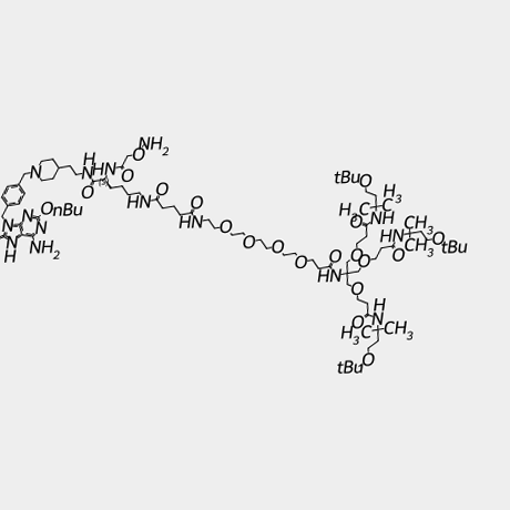 CCCCOc1nc(N)c2[nH]c(=O)n(Cc3ccc(CN4CCC(CCNC(=O)[C@H](CCCCNC(=O)CCCC(=O)NCCOCCOCCOCCOCCC(=O)NC(COCCC(=O)NC(C)(C)CCOC(C)(C)C)(COCCC(=O)NC(C)(C)CCOC(C)(C)C)COCCC(=O)NC(C)(C)CCOC(C)(C)C)NC(=O)CON)CC4)cc3)c2n1